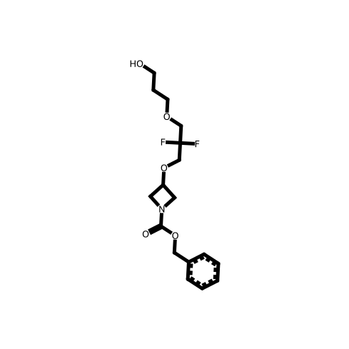 O=C(OCc1ccccc1)N1CC(OCC(F)(F)COCCCO)C1